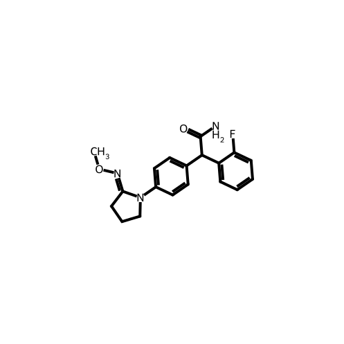 CON=C1CCCN1c1ccc(C(C(N)=O)c2ccccc2F)cc1